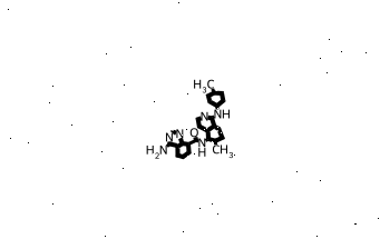 Cc1ccc(Nc2nccc3c(NC(=O)c4cccc5c(N)ncnc45)c(C)ccc23)cc1